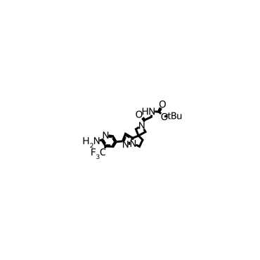 CC(C)(C)OC(=O)NCC(=O)N1CC2(CCn3nc(-c4cnc(N)c(C(F)(F)F)c4)cc32)C1